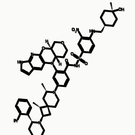 CC(C)c1ccccc1[C@H]1CCCCN1[C@@H]1C[C@@]2(CCN(c3ccc(C(=O)NS(=O)(=O)c4ccc(NC[C@H]5CC[C@](C)(O)CC5)c([N+](=O)[O-])c4)c(N4c5cc6cc[nH]c6nc5O[C@H]5COCC[C@@H]54)c3)[C@@H](C)C2)[C@H]1C